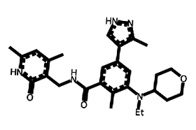 CCN(c1cc(-c2c[nH]nc2C)cc(C(=O)NCc2c(C)cc(C)[nH]c2=O)c1C)C1CCOCC1